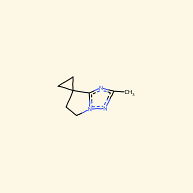 Cc1nc2n(n1)CCC21CC1